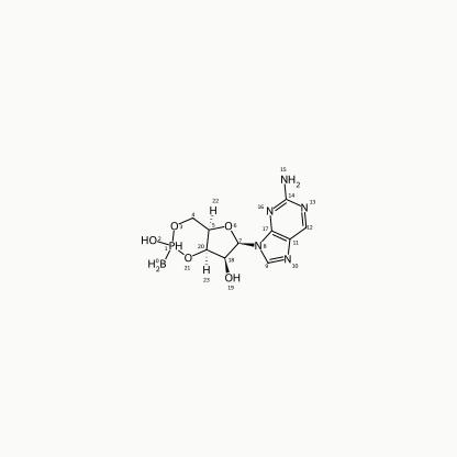 B[PH]1(O)OC[C@H]2O[C@@H](n3cnc4cnc(N)nc43)[C@@H](O)[C@H]2O1